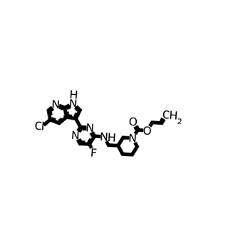 C=CCOC(=O)N1CCCC(CNc2nc(-c3c[nH]c4ncc(Cl)cc34)ncc2F)C1